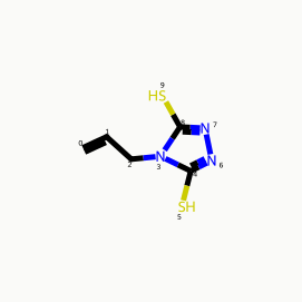 C=CCn1c(S)nnc1S